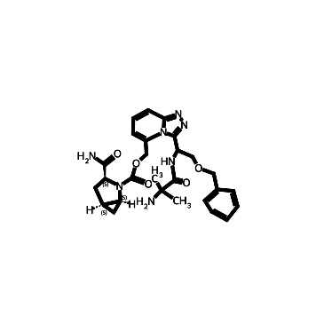 CC(C)(N)C(=O)NC(COCc1ccccc1)c1nnc2cccc(COC(=O)N3[C@H](C(N)=O)C[C@@H]4C[C@@H]43)n12